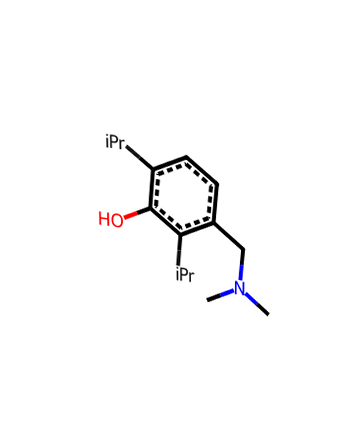 CC(C)c1ccc(CN(C)C)c(C(C)C)c1O